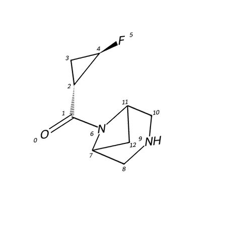 O=C([C@@H]1C[C@H]1F)N1C2CNCC1C2